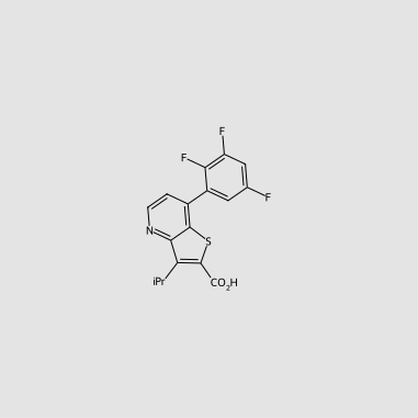 CC(C)c1c(C(=O)O)sc2c(-c3cc(F)cc(F)c3F)ccnc12